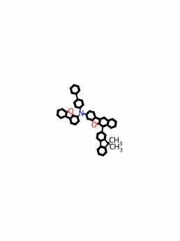 CC1(C)c2ccccc2-c2ccc(-c3c4ccccc4cc4c3oc3cc(N(c5ccc(-c6ccccc6)cc5)c5cccc6c5oc5ccccc56)ccc34)cc21